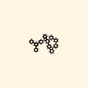 C1=CCCC(c2cc(C3=CCC(n4c5c(c6ccccc64)C=CC(C4=CC6C(C=C4)C4C=CCCC4N6C4=CC=C[C@H](C6C=CC=C(C7C=CCCC7)C6)C4)C5)C=C3)cc(C3=CC=CCC3)c2)=C1